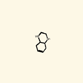 C1=CCC2NCCNC2C1